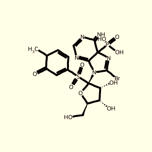 CC1C=CC(S(=O)(=O)[C@@]2(N3C(Br)=NC4(P(=O)(O)O)C(=N)N=CN=C34)O[C@H](CO)[C@@H](O)[C@H]2O)=CC1=O